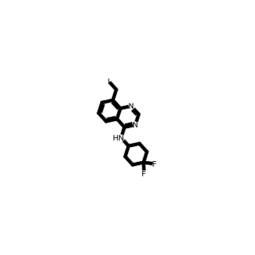 FC1(F)CCC(Nc2ncnc3c(CI)cccc23)CC1